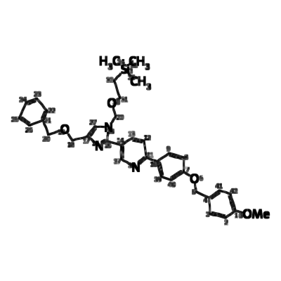 COc1ccc(COc2ccc(-c3ccc(-c4nc(COCc5ccccc5)cn4COCC[Si](C)(C)C)cn3)cc2)cc1